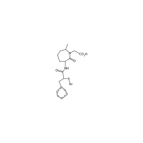 CC(=O)SC(Cc1ccccc1)C(=O)NC1CCCC(C)N(CC(=O)O)C1=O